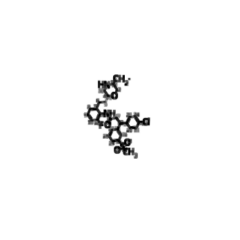 [CH2][C@H]1CO[C@H](CCc2cccc(F)c2NC(=O)C[C@@H](c2ccc(Cl)cc2)c2cccc(S(C)(=O)=O)c2)CN1